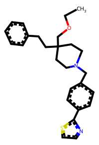 CCOCC1(CCc2ccccc2)CCN(Cc2ccc(-c3nccs3)cc2)CC1